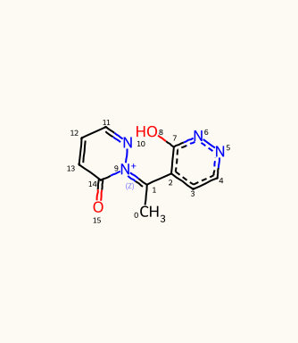 C/C(c1ccnnc1O)=[N+]1/N=CC=CC1=O